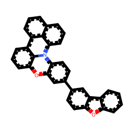 c1ccc2c(c1)oc1ccc(-c3ccc4c(c3)oc3cccc5c3-n4c3cccc4cccc5c43)cc12